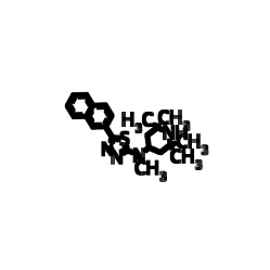 CN(c1nnc(-c2ccc3ccccc3c2)s1)C1CC(C)(C)NC(C)(C)C1